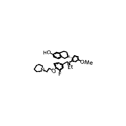 CCN(Cc1ccc(OCCN2CCCCCC2)c(F)c1)c1cc(OC)ccc1[C@H]1CCc2cc(O)ccc2C1